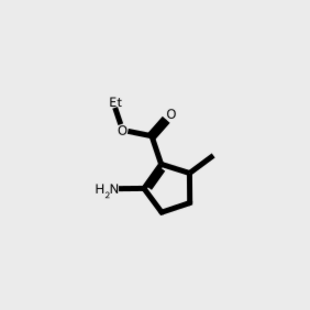 CCOC(=O)C1=C(N)CCC1C